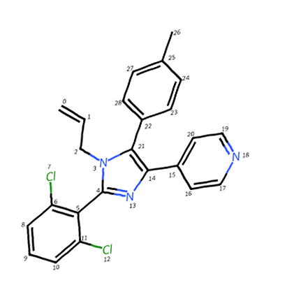 C=CCn1c(-c2c(Cl)cccc2Cl)nc(-c2ccncc2)c1-c1ccc(C)cc1